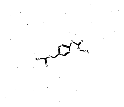 CSC(=O)Oc1ccc(COC(C)=O)cc1